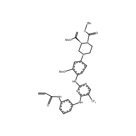 C=CC(=O)Nc1cccc(Nc2nc(Nc3ccc(N4CCN(C(=O)OC(C)(C)C)[C@H](C(=C)OC)C4)cc3OC)ncc2C(F)(F)F)c1